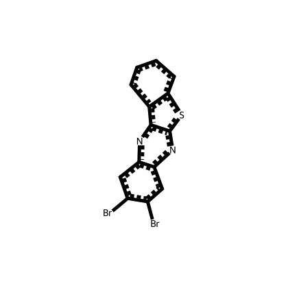 Brc1cc2nc3sc4ccccc4c3nc2cc1Br